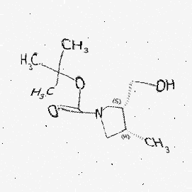 C[C@@H]1CN(C(=O)OC(C)(C)C)[C@@H]1CO